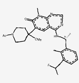 COC1(c2cc3c(N[C@H](C)c4cccc(C(C)F)c4C)ncnc3n(C)c2=O)CCN(C(C)=O)CC1